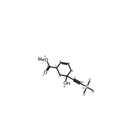 COC(=O)C1C=CCC(O)(C#C[Si](C)(C)C)C1